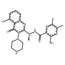 Cc1nc(N)c(C(=O)N[C@@H](C)c2nc3cccc(Cl)c3c(=O)n2N2CCNCC2)nc1C